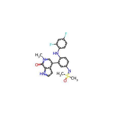 Cn1cc(-c2cc(N=S(C)(C)=O)ccc2Nc2ccc(F)cc2F)c2cc[nH]c2c1=O